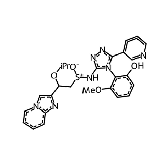 COc1cccc(O)c1-n1c(N[S+]([O-])CC(OC(C)C)c2cn3ccccc3n2)nnc1C1=C=C=CN=C1